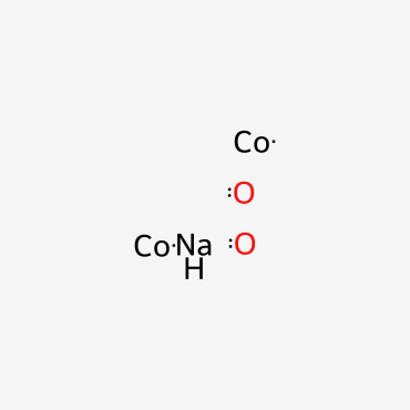 [Co].[Co].[NaH].[O].[O]